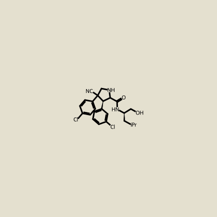 CC(C)C[C@H](CO)NC(=O)C1NCC(C#N)(c2ccc(Cl)cc2)[C@@H]1c1cccc(Cl)c1